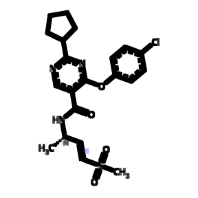 C[C@@H](/C=C/S(C)(=O)=O)NC(=O)c1cnc(C2CCCC2)nc1Oc1ccc(Cl)cc1